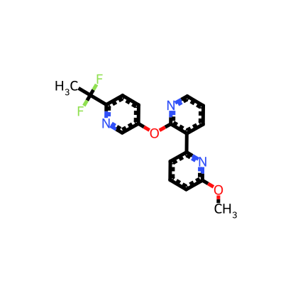 COc1cccc(-c2cccnc2Oc2ccc(C(C)(F)F)nc2)n1